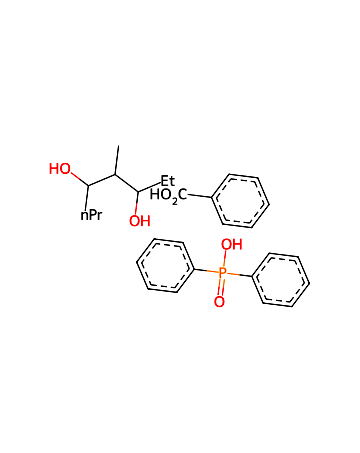 CCCC(O)C(C)C(O)CC.O=C(O)c1ccccc1.O=P(O)(c1ccccc1)c1ccccc1